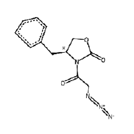 [N-]=[N+]=NCC(=O)N1C(=O)OC[C@@H]1Cc1ccccc1